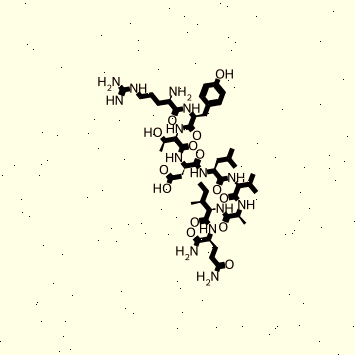 CC[C@H](C)[C@H](NC(=O)[C@H](C)NC(=O)[C@@H](NC(=O)[C@H](CC(C)C)NC(=O)[C@H](CC(=O)O)NC(=O)[C@@H](NC(=O)[C@H](Cc1ccc(O)cc1)NC(=O)[C@@H](N)CCCNC(=N)N)[C@@H](C)O)C(C)C)C(=O)N[C@@H](CCC(N)=O)C(N)=O